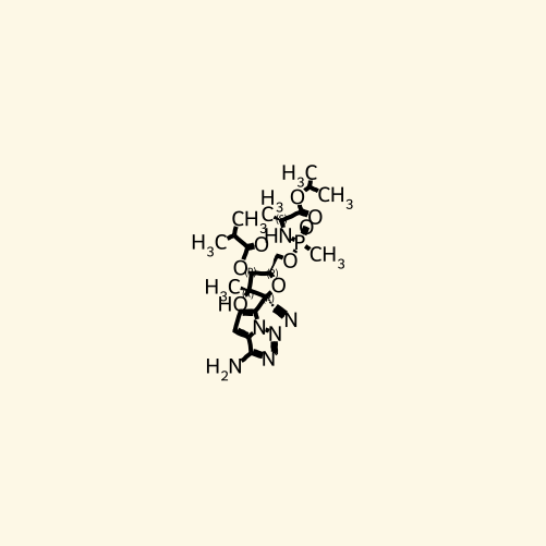 CC(C)OC(=O)[C@H](C)NP(C)(=O)OC[C@H]1O[C@@](C#N)(c2ccc3c(N)ncnn23)[C@](C)(O)[C@@H]1OC(=O)C(C)C